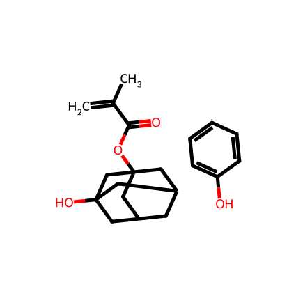 C=C(C)C(=O)OC12CC3CC(CC(O)(C3)C1)C2.Oc1cc[c]cc1